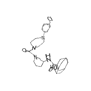 O=C(N1CCN(c2ccc(Cl)cc2)CC1)N1CCCC(NC(=O)C23CC4CC(C2)C(O)C(C4)C3)C1